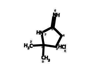 CC1(C)CCC(=N)N1.Cl